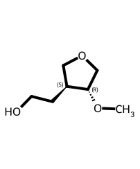 CO[C@H]1COC[C@@H]1CCO